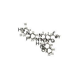 C=C(c1cc2cnc(Nc3ccc(N4C[C@@H](C)N[C@@H](C)C4)c(F)c3)nc2n(C2Cc3ccccc3S(=O)(=O)C2(C)C)c1=O)C(C)C